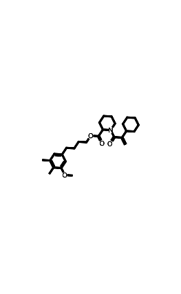 C=C(C(=O)N1CCCCC1C(=O)OCCCCc1cc(C)c(C)c(OC)c1)C1CCCCC1